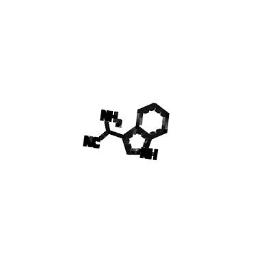 N#CC(N)c1c[nH]c2ccccc12